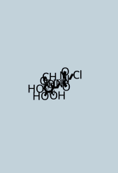 CO[C@H]1OC(CNC(=O)N(CCCl)N=O)[C@@H](O)C(O)[C@@H]1O